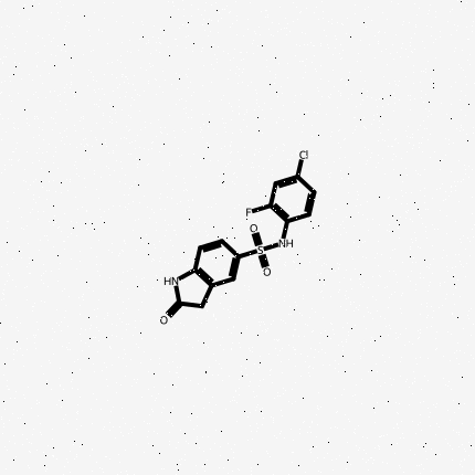 O=C1Cc2cc(S(=O)(=O)Nc3ccc(Cl)cc3F)ccc2N1